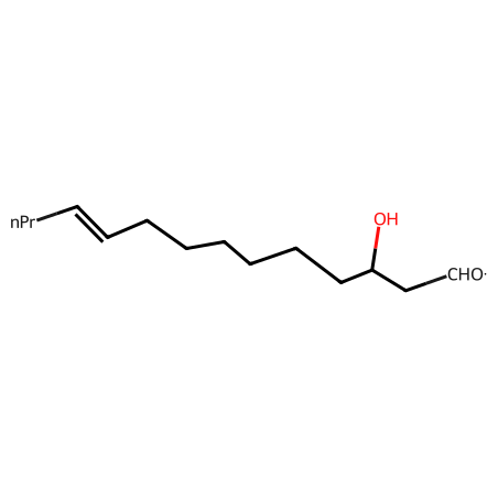 CCCC=CCCCCCCC(O)C[C]=O